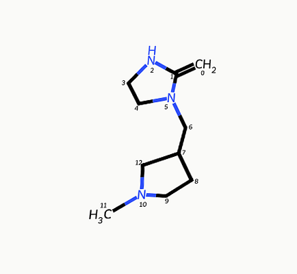 C=C1NCCN1CC1CCN(C)C1